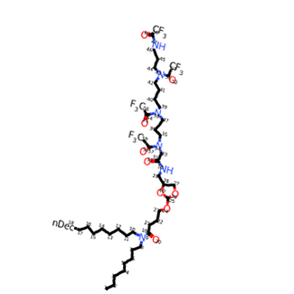 CCCCCCCCCCCCCCCCCCN(CCCCCCCCCCCCCCCCCC)C(=O)CCCOC1OCC(CNC(=O)CN(CCCN(CCCCN(CCCNC(=O)C(F)(F)F)C(=O)C(F)(F)F)C(=O)C(F)(F)F)C(=O)C(F)(F)F)O1